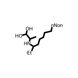 C[CH]C(CCCCCCCCCCCCCC)NC(C)C(O)O